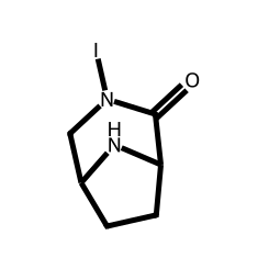 O=C1C2CCC(CN1I)N2